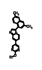 CCOc1ncc(-c2ccn3c(-c4cc(C)cc5cc(C)ccc45)cnc3c2)cn1